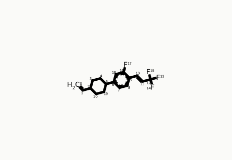 C=CC1CCC(c2ccc(/C=C/C(F)(F)F)c(F)c2)CC1